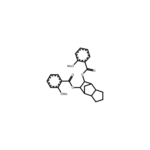 COc1ccccc1C(=O)OC1C2CC(C3CCCC32)C1OC(=O)c1ccccc1OC